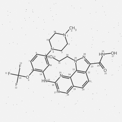 CN1CCN(c2ccc(OC(F)(F)F)c(Nc3ncc4ccc5c(C(=O)NO)nn(CCO)c5c4n3)c2)CC1